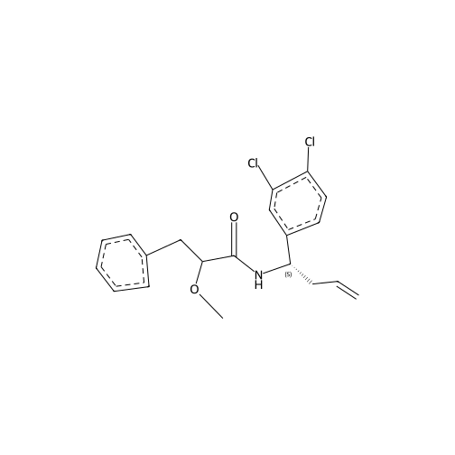 C=CC[C@H](NC(=O)C(Cc1ccccc1)OC)c1ccc(Cl)c(Cl)c1